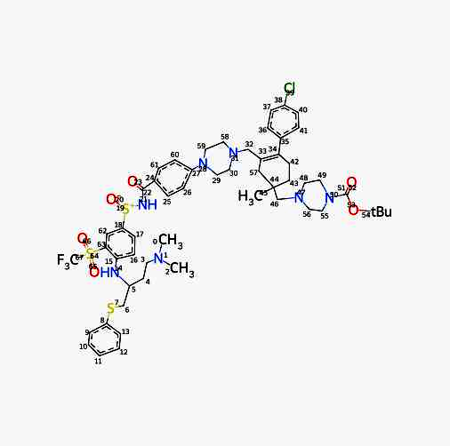 CN(C)CCC(CSc1ccccc1)Nc1ccc([S+]([O-])NC(=O)c2ccc(N3CCN(CC4=C(c5ccc(Cl)cc5)CCC(C)(CN5CCN(C(=O)OC(C)(C)C)CC5)C4)CC3)cc2)cc1S(=O)(=O)C(F)(F)F